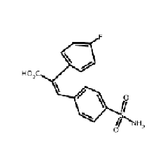 NS(=O)(=O)c1ccc(/C=C(/C(=O)O)c2ccc(F)cc2)cc1